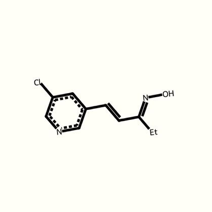 CCC(C=Cc1cncc(Cl)c1)=NO